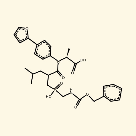 CC(C)CC(CP(=O)(O)CNC(=O)OCc1ccccc1)C(=O)N(c1ccc(-c2ccco2)cc1)[C@@H](C)C(=O)O